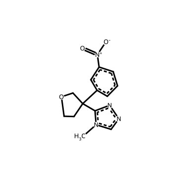 Cn1cnnc1C1(c2cccc([N+](=O)[O-])c2)CCOC1